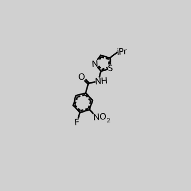 CC(C)c1cnc(NC(=O)c2ccc(F)c([N+](=O)[O-])c2)s1